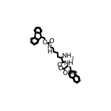 COC(=O)[C@H](Cc1ccc2ccccc2c1)NC(=O)C(N)CCCCNC(=O)OCC1c2ccccc2-c2ccccc21